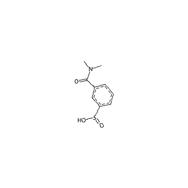 CN(C)C(=O)c1cccc(S(=O)O)c1